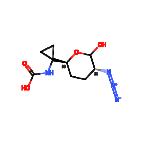 [N-]=[N+]=N[C@@H]1CC[C@@H](C2(NC(=O)O)CC2)OC1O